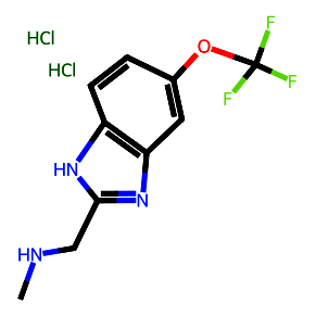 CNCc1nc2cc(OC(F)(F)F)ccc2[nH]1.Cl.Cl